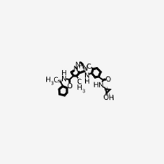 Cc1ccc(C(=O)N[C@H]2C[C@@H]2O)cc1Nc1ncnn2cc(C(=O)N[C@@H](C)c3ccccc3)c(C)c12